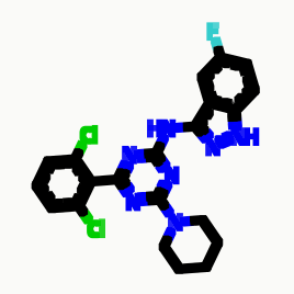 Fc1ccc2[nH]nc(Nc3nc(-c4c(Cl)cccc4Cl)nc(N4CCCCC4)n3)c2c1